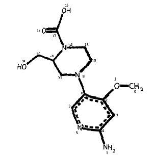 COc1cc(N)ncc1N1CCN(C(=O)O)C(CO)C1